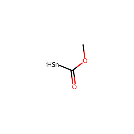 CO[C](=O)[SnH]